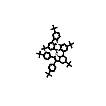 CC(C)(C)c1ccc(C2=C(c3ccc(C(C)(C)C)cc3)N3B4c5c(cc(C(C)(C)C)cc5-n5c6ccc(C(C)(C)C)cc6c6cc(C(C)(C)C)cc4c65)C4CC(C(C)(C)C)CC2C43)cc1